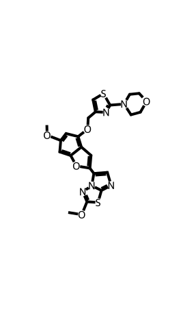 COc1cc(OCc2csc(N3CCOCC3)n2)c2cc(-c3cnc4sc(OC)nn34)oc2c1